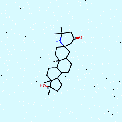 CC1(C)CC(=O)CC2(CCC3(C)C(CCC4C3CCC3(C)C4CC[C@]3(C)O)C2)N1